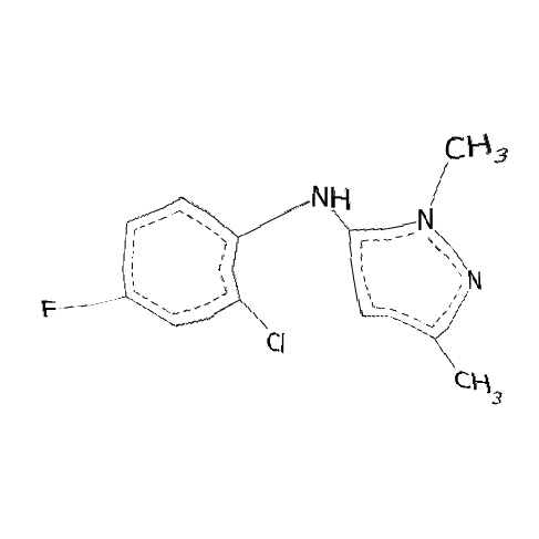 Cc1cc(Nc2ccc(F)cc2Cl)n(C)n1